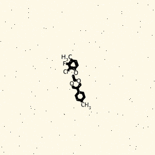 Cc1ccc(OCC2OCC(C3CCC(C)CC3)CO2)c(Cl)c1F